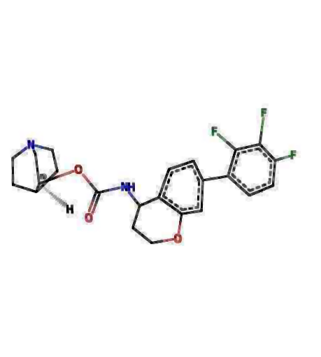 O=C(NC1CCOc2cc(-c3ccc(F)c(F)c3F)ccc21)O[C@@H]1CN2CCC1CC2